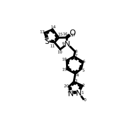 Cn1cc(-c2ccc(CN3Cc4sccc4C3=O)cc2)cn1